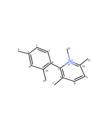 Cc1ccc(-c2c(C)ccc(C)[n+]2C)c(C)c1